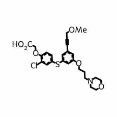 COCC#Cc1cc(OCCCN2CCOCC2)cc(Sc2ccc(OCC(=O)O)c(Cl)c2)c1